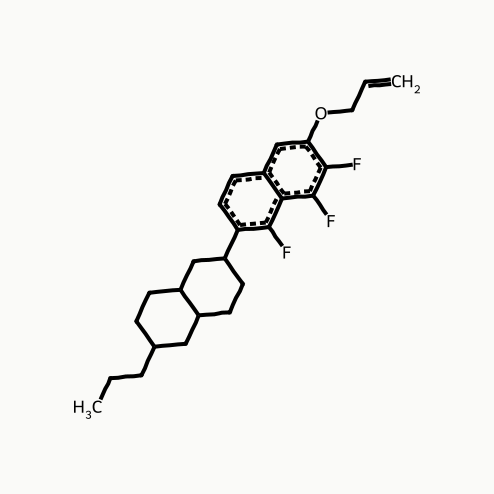 C=CCOc1cc2ccc(C3CCC4CC(CCC)CCC4C3)c(F)c2c(F)c1F